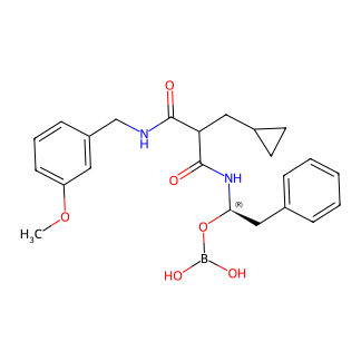 COc1cccc(CNC(=O)C(CC2CC2)C(=O)N[C@@H](Cc2ccccc2)OB(O)O)c1